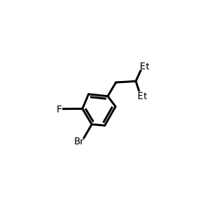 CCC(CC)Cc1ccc(Br)c(F)c1